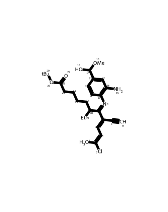 C#CC(=C\C=C(/C)Cl)/C(=N/c1ccc(C(O)OC)cc1N)C(CC)CCCCC(=O)OC(C)(C)C